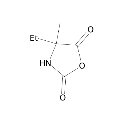 CCC1(C)NC(=O)OC1=O